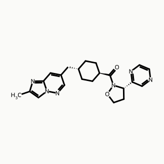 Cc1cn2ncc(C[C@H]3CC[C@H](C(=O)N4OCC[C@H]4c4cnccn4)CC3)cc2n1